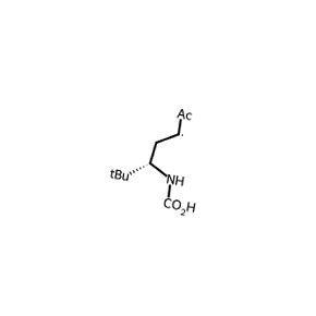 CC(=O)[CH]C[C@H](NC(=O)O)C(C)(C)C